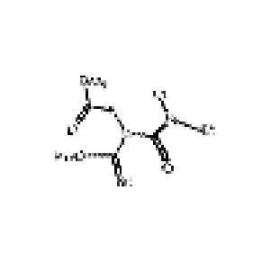 CCN(CC)C(=O)N(SC(=O)OC)C(=N)OC